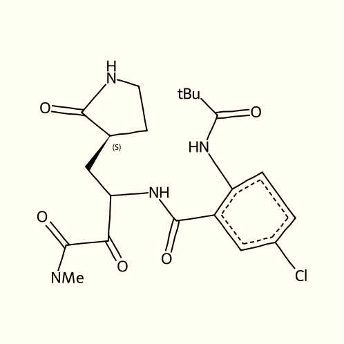 CNC(=O)C(=O)C(C[C@@H]1CCNC1=O)NC(=O)c1cc(Cl)ccc1NC(=O)C(C)(C)C